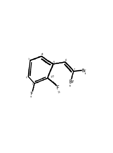 Fc1cccc(C=C(Br)Br)c1F